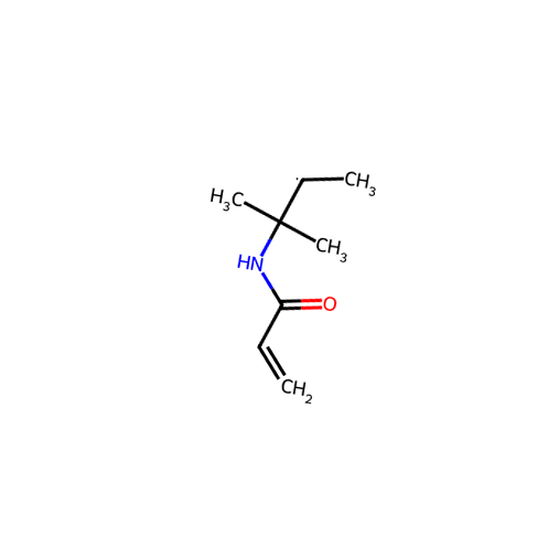 C=CC(=O)NC(C)(C)[CH]C